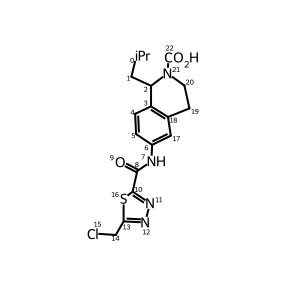 CC(C)CC1c2ccc(NC(=O)c3nnc(CCl)s3)cc2CCN1C(=O)O